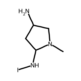 CN1CC(N)CC1NI